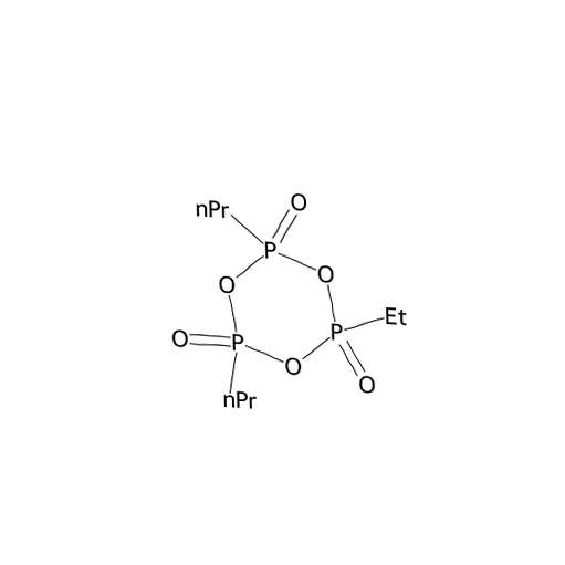 CCCP1(=O)OP(=O)(CC)OP(=O)(CCC)O1